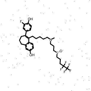 CN(CCCCCC1=C(c2ccc(O)c(F)c2)CCCc2cc(O)ccc21)CCC[S+]([O-])CCCC(F)(F)C(F)(F)F